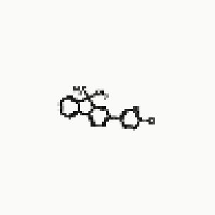 CC1(C)c2ccccc2-c2ccc(-c3ccc(Cl)nc3)cc21